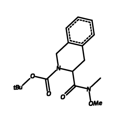 CON(C)C(=O)C1Cc2ccccc2CN1C(=O)OC(C)(C)C